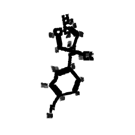 C=C[Si](C=C)(CC)c1ccc(F)cc1